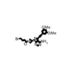 COc1cc(C#Cc2nn(C3CN(C(=O)C=CCBr)C3)c3ncnc(N)c23)cc(OC)c1